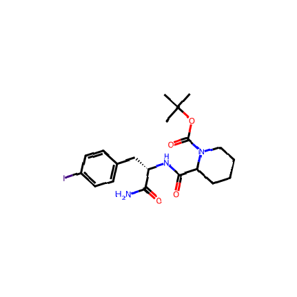 CC(C)(C)OC(=O)N1CCCCC1C(=O)N[C@@H](Cc1ccc(I)cc1)C(N)=O